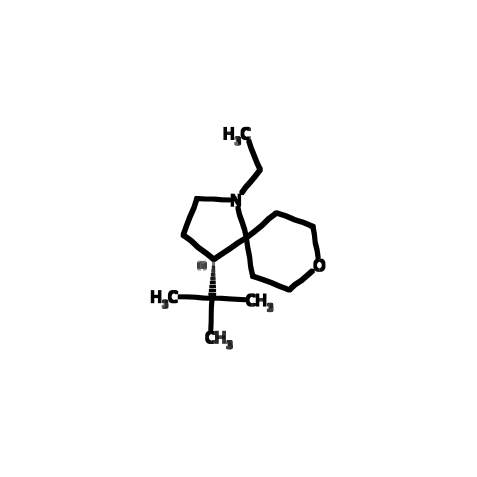 CCN1CC[C@@H](C(C)(C)C)C12CCOCC2